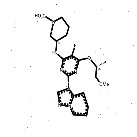 COC[C@@H](C)Oc1nc(-c2cnn3ccccc23)nc(N[C@@H]2CCCN(C(=O)O)C2)c1F